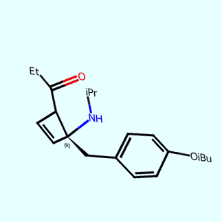 CCC(=O)C1C=C[C@@]1(Cc1ccc(OCC(C)C)cc1)NC(C)C